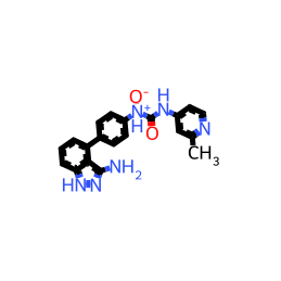 Cc1cc(NC(=O)[NH+]([O-])c2ccc(-c3cccc4[nH]nc(N)c34)cc2)ccn1